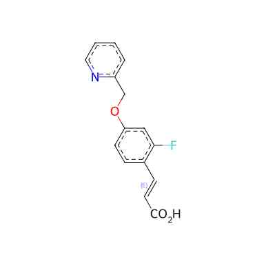 O=C(O)/C=C/c1ccc(OCc2ccccn2)cc1F